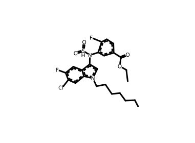 CCCCCCCn1cc(N(c2cc(C(=O)OCC)ccc2F)[SH](=O)=O)c2cc(F)c(Cl)cc21